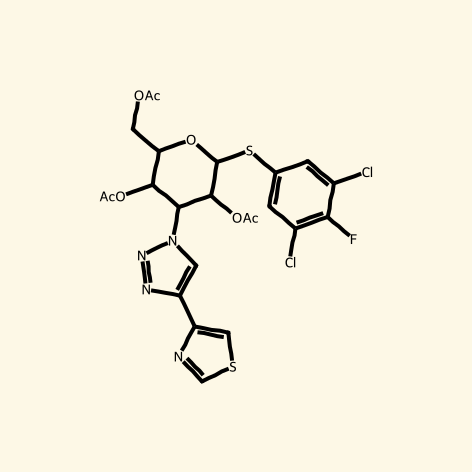 CC(=O)OCC1OC(Sc2cc(Cl)c(F)c(Cl)c2)C(OC(C)=O)C(n2cc(-c3cscn3)nn2)C1OC(C)=O